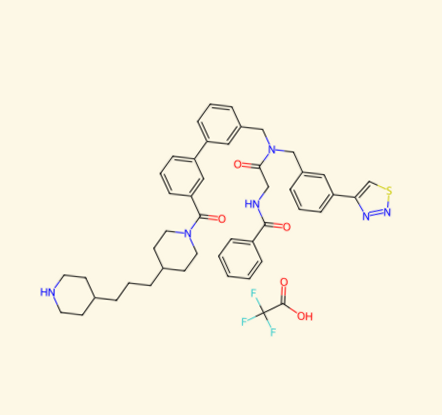 O=C(NCC(=O)N(Cc1cccc(-c2cccc(C(=O)N3CCC(CCCC4CCNCC4)CC3)c2)c1)Cc1cccc(-c2csnn2)c1)c1ccccc1.O=C(O)C(F)(F)F